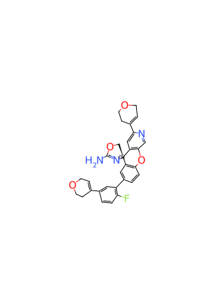 NC1=N[C@@]2(CO1)c1cc(-c3cc(C4=CCOCC4)ccc3F)ccc1Oc1cnc(C3=CCOCC3)cc12